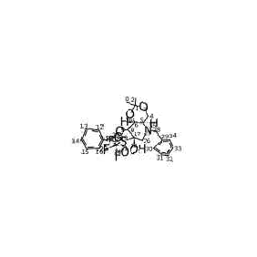 CC1(C)OC[C@@H]2[C@@H](O1)[C@H](OCc1ccccc1)[C@@](O)(S(=O)(=O)C(F)(F)F)CN2Cc1ccccc1